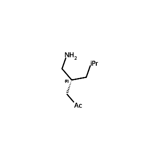 CC(=O)C[C@H](CN)CC(C)C